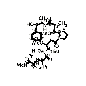 CC[C@H](C)[C@@H]([C@H](CC(=O)N1CCC[C@H]1[C@H](OC)[C@@H](C)C(=O)N[C@@H](C)[C@H](O)c1ccccc1)OC)N(C)C(=O)[C@@H](NC(=O)[C@@H](NC)C(C)C)C(C)C